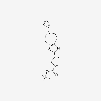 CC(C)(C)OC(=O)N1CCC(c2nc3c(s2)CCN(C2=CC=C2)CC3)C1